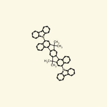 CC1(C)c2cc3c(cc2-c2c1cc(-n1c4ccccc4c4ccccc41)c1ccccc21)C(C)(C)c1cc(-n2c4ccccc4c4ccccc42)c2ccccc2c1-3